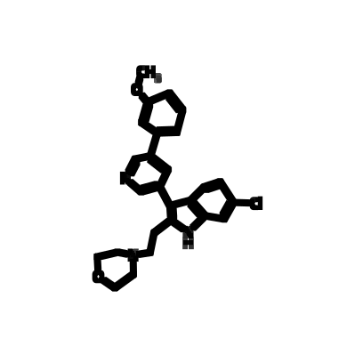 COc1cccc(-c2cncc(-c3c(CCN4CCOCC4)[nH]c4cc(Cl)ccc34)c2)c1